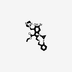 CCOC(=O)c1c(CSCc2ccccc2F)n(C2CC2)c2cc(Br)c(O)c(Cn3cncn3)c12